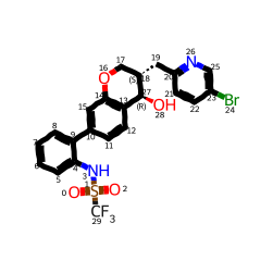 O=S(=O)(Nc1ccccc1-c1ccc2c(c1)OC[C@H](Cc1ccc(Br)cn1)[C@H]2O)C(F)(F)F